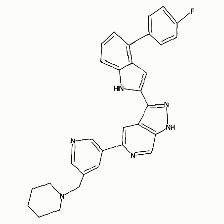 Fc1ccc(-c2cccc3[nH]c(-c4n[nH]c5cnc(-c6cncc(CN7CCCCC7)c6)cc45)cc23)cc1